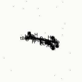 CC(C)CC(NC(=O)C(Cc1ccccc1)NC(=O)CNC(=O)OC(C)(C)C)C(=O)NCC(=O)NCCCCC(NC(=O)CCC(=O)O)C(=O)NCCOCCOCC(=O)NC(CCC(=O)NC(CCC(=O)OCc1ccccc1)C(=O)OCc1ccccc1)C(=O)NC(CCC(=O)OCc1ccccc1)C(=O)OCc1ccccc1